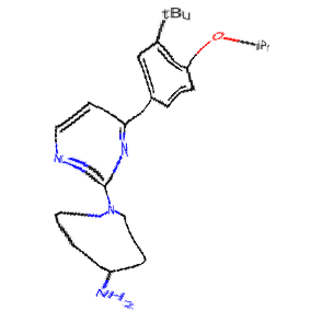 CC(C)Oc1ccc(-c2ccnc(N3CCC(N)CC3)n2)cc1C(C)(C)C